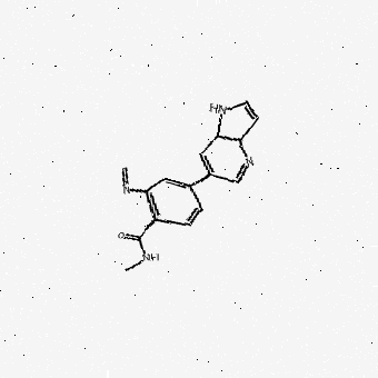 C=Nc1cc(C2=CC3NC=CC3N=C2)ccc1C(=O)NC